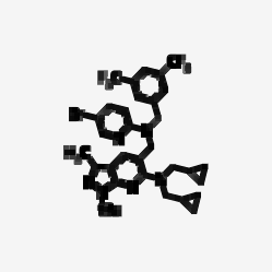 Cc1nn(C(C)(C)C)c2nc(N(CC3CC3)CC3CC3)c(CN(Cc3cc(C(F)(F)F)cc(C(F)(F)F)c3)c3ccc(Br)cn3)cc12